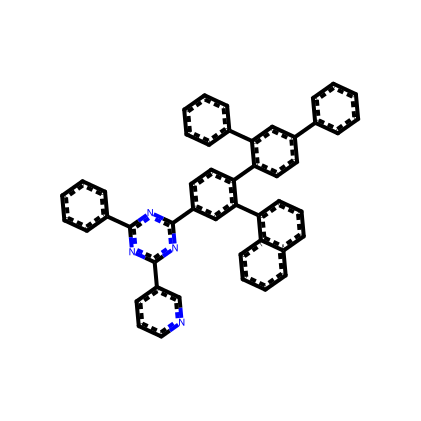 c1ccc(-c2ccc(-c3ccc(-c4nc(-c5ccccc5)nc(-c5cccnc5)n4)cc3-c3cccc4ccccc34)c(-c3ccccc3)c2)cc1